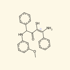 COc1cccc(NC(C(=O)/C(S)=C(/N)c2ccccc2)c2ccccc2)c1